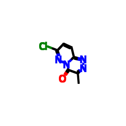 Cc1nnc2ccc(Cl)nn2c1=O